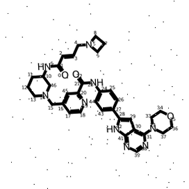 O=C(C=CCN1CCC1)NC1CCCN(Cc2ccnc(C(=O)Nc3ccc(-c4cc5c(N6CCOCC6)ncnc5[nH]4)cc3)c2)C1